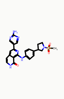 CS(=O)(=O)N1CCC(c2ccc(Nc3nc(-c4cnc(N)nc4)cc4cc[nH]c(=O)c34)cc2)C1